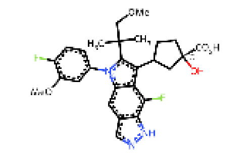 COCC(C)(C)c1c(C2CC[C@@](O)(C(=O)O)C2)c2c(F)c3[nH]ncc3cc2n1-c1ccc(F)c(OC)c1